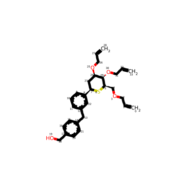 C=CCOC[C@H]1S[C@@H](c2cccc(Cc3ccc(CO)cc3)c2)C[C@@H](OCC=C)[C@@H]1OCC=C